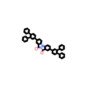 O=c1c2cc(-c3ccc(-c4ccccc4)c(-c4ccccc4)c3)ccc2n2c3ccc(-c4ccc(-c5ccccc5)c(-c5ccccc5)c4)cc3c(=O)n12